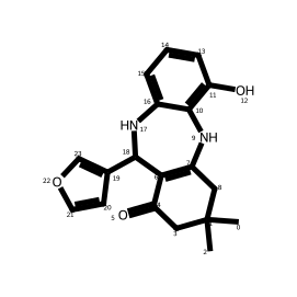 CC1(C)CC(=O)C2=C(C1)Nc1c(O)cccc1NC2c1ccoc1